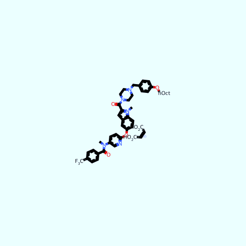 CCCCCCCCOc1ccc(CN2CCN(C(=O)c3cc4cc(Oc5ccc(N(C)C(=O)c6ccc(C(F)(F)F)cc6)cn5)ccc4n3C)CC2)cc1.O=C(O)/C=C\C(=O)O